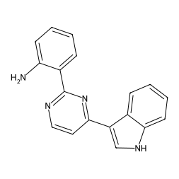 Nc1ccccc1-c1nccc(-c2c[nH]c3ccccc23)n1